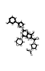 Cc1cccc(-c2ccn(-c3nc(N4CCOCC4)c4sc(C(=O)N5CC[C@@H](N(C)C)C5)c(C)c4n3)n2)c1